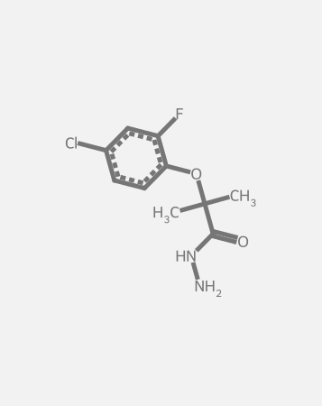 CC(C)(Oc1ccc(Cl)cc1F)C(=O)NN